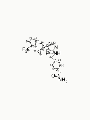 NC(=O)Cc1ccc(CNc2ncnc(N(Cc3cccc(C(F)(F)F)c3)C3CC3)c2F)cc1